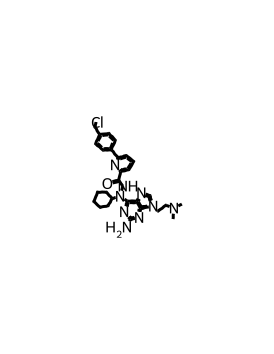 CN(C)CCn1cnc2c(N(NC(=O)c3cccc(-c4ccc(CCl)cc4)n3)C3CCCCC3)nc(N)nc21